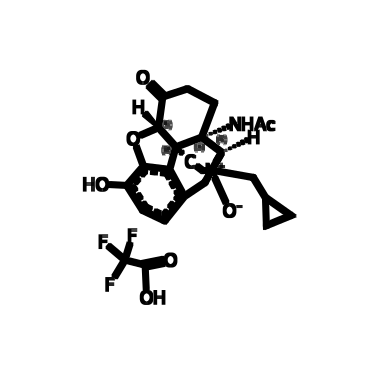 CC(=O)N[C@@]12CCC(=O)[C@H]3Oc4c(O)ccc5c4[C@@]31CC[N+]([O-])(CC1CC1)[C@@H]2C5.O=C(O)C(F)(F)F